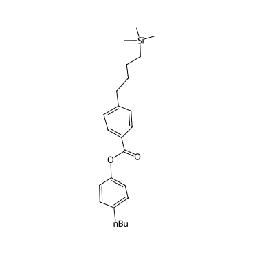 CCCCc1ccc(OC(=O)c2ccc(CCCC[Si](C)(C)C)cc2)cc1